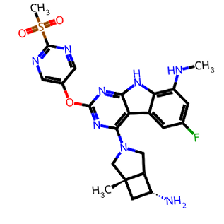 CNc1cc(F)cc2c1[nH]c1nc(Oc3cnc(S(C)(=O)=O)nc3)nc(N3CC4[C@H](N)C[C@]4(C)C3)c12